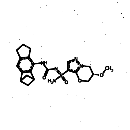 CO[C@@H]1COc2c(S(N)(=O)=NC(=O)Nc3c4c(cc5c3C3CC5C3)CCC4)cnn2C1